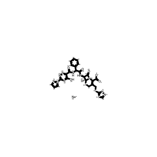 O=C([O-])C1=C(CSc2nncs2)CS[C@H]2C(NC(=O)C(NC(=O)c3nnc(-n4cccn4)nc3O)c3ccccc3)C(=O)N12.[Na+]